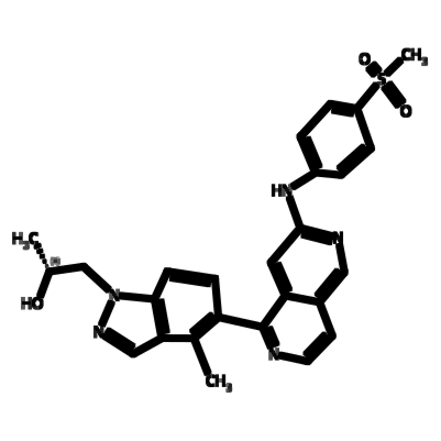 Cc1c(-c2nccc3cnc(Nc4ccc(S(C)(=O)=O)cc4)cc23)ccc2c1cnn2C[C@@H](C)O